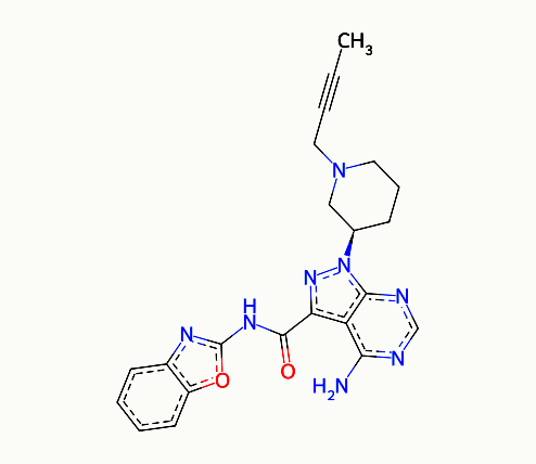 CC#CCN1CCC[C@@H](n2nc(C(=O)Nc3nc4ccccc4o3)c3c(N)ncnc32)C1